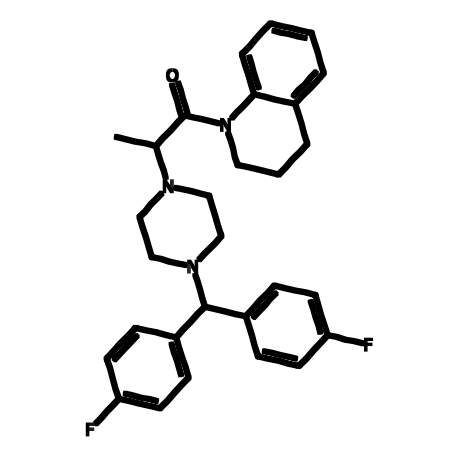 CC(C(=O)N1CCCc2ccccc21)N1CCN(C(c2ccc(F)cc2)c2ccc(F)cc2)CC1